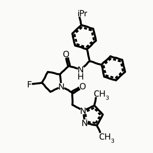 Cc1cc(C)n(CC(=O)N2CC(F)CC2C(=O)NC(c2ccccc2)c2ccc(C(C)C)cc2)n1